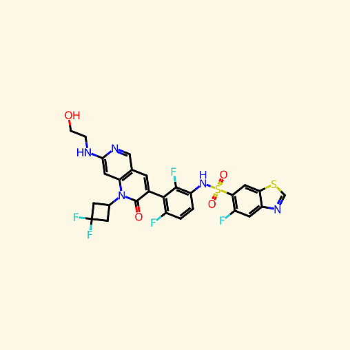 O=c1c(-c2c(F)ccc(NS(=O)(=O)c3cc4scnc4cc3F)c2F)cc2cnc(NCCO)cc2n1C1CC(F)(F)C1